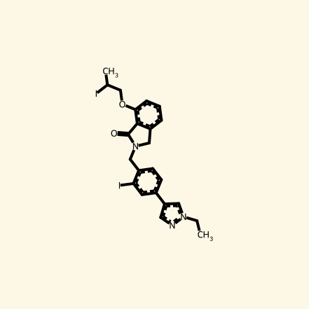 CCn1cc(-c2ccc(CN3Cc4cccc(OCC(C)I)c4C3=O)c(I)c2)cn1